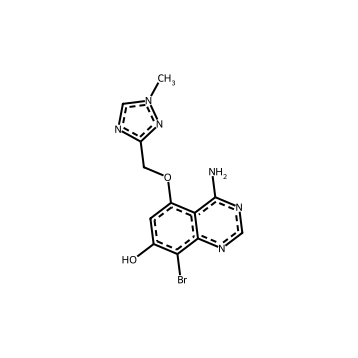 Cn1cnc(COc2cc(O)c(Br)c3ncnc(N)c23)n1